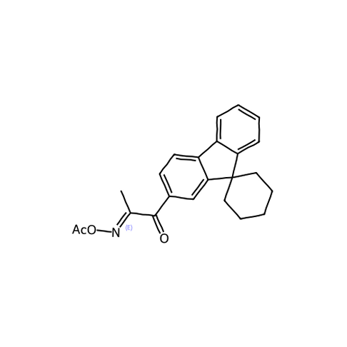 CC(=O)O/N=C(\C)C(=O)c1ccc2c(c1)C1(CCCCC1)c1ccccc1-2